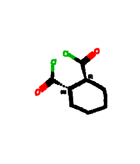 O=C(Cl)[C@H]1CCCC[C@@H]1C(=O)Cl